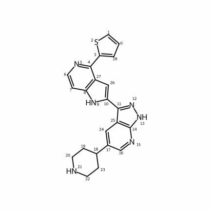 c1csc(-c2nccc3[nH]c(-c4n[nH]c5ncc(C6CCNCC6)cc45)cc23)c1